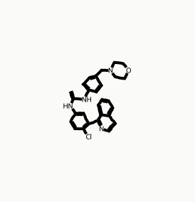 C=C(Nc1ccc(CN2CCOCC2)cc1)Nc1ccc(Cl)c(-c2nccc3ccccc23)c1